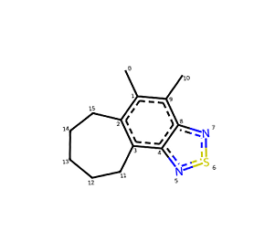 Cc1c2c(c3nsnc3c1C)CCCCC2